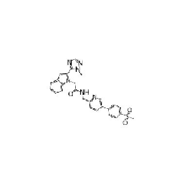 Cn1ncnc1-c1cc2ccccc2n1CC(=O)NCc1ccc(-c2ccc(S(C)(=O)=O)cc2)cn1